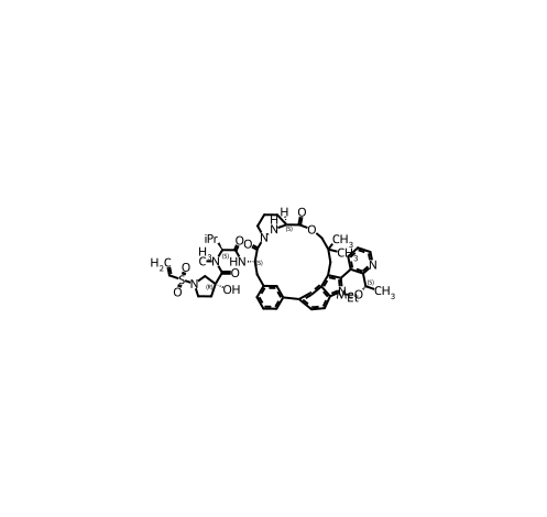 C=CS(=O)(=O)N1CC[C@](O)(C(=O)N(C)[C@H](C(=O)N[C@H]2Cc3cccc(c3)-c3ccc4c(c3)c(c(-c3cccnc3[C@H](C)OC)n4CC)CC(C)(C)COC(=O)[C@@H]3CCCN(N3)C2=O)C(C)C)C1